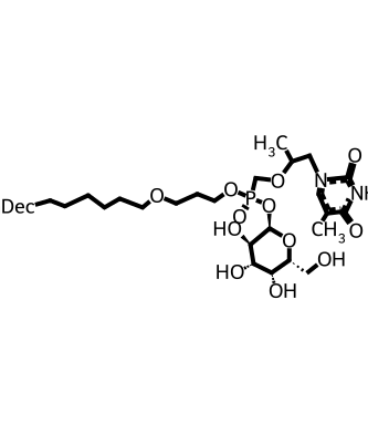 CCCCCCCCCCCCCCCCOCCCOP(=O)(COC(C)Cn1cc(C)c(=O)[nH]c1=O)O[C@H]1O[C@H](CO)[C@H](O)[C@H](O)[C@H]1O